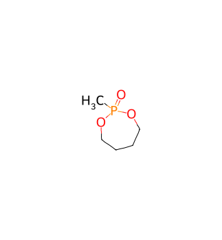 CP1(=O)OCCCCO1